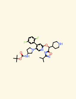 CC(C)c1noc(C(Oc2cc(-c3cc(F)ccc3F)c(N3CCC(NC(=O)OC(C)(C)C)C3)cn2)C2CCNCC2)n1